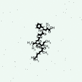 C=C(C)[C@@H](CCc1nc(C(=O)N[C@@H](Cc2ccccc2)C[C@H](C)C(=O)O)cs1)N(C)C(=O)[C@@H](NC(=O)[C@H](C)CCCCNC)[C@@H](C)CC